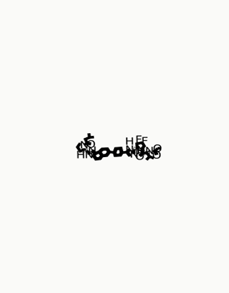 COC(=O)N[C@H](C(=O)N1CC(F)(F)C[C@H]1c1ncc(-c2ccc(-c3ccc4c(ccc5[nH]c([C@@H]6CCCN6C(=O)CC(C)C)nc54)c3)cc2)[nH]1)C(C)C